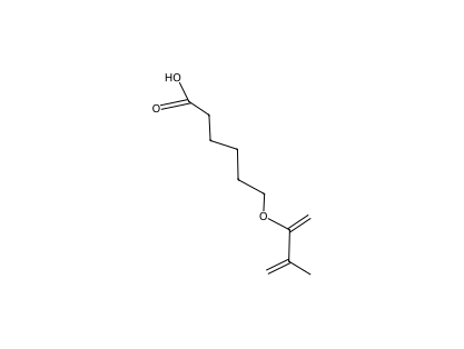 C=C(C)C(=C)OCCCCCC(=O)O